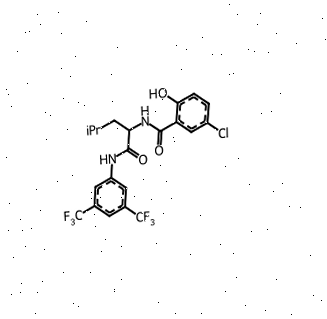 CC(C)CC(NC(=O)c1cc(Cl)ccc1O)C(=O)Nc1cc(C(F)(F)F)cc(C(F)(F)F)c1